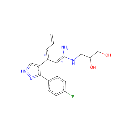 C=C/C=C(\C=C(/N)NCC(O)CO)c1c[nH]nc1-c1ccc(F)cc1